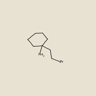 CC(C)CCC1(P)CCCCC1